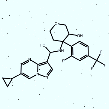 OC(NC1(c2ccc(C(F)(F)F)cc2F)CCOCC1O)c1cnn2cc(C3CC3)cnc12